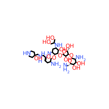 NC[C@@H]1O[C@H](O[C@H]2[C@@H](O)[C@H](O[C@@H]3[C@@H](O)[C@H](NC(CO)CO)C[C@H](N)[C@H]3O[C@H]3OC(CNCC4(O)CCNCC4)=CC[C@H]3N)O[C@@H]2CO)[C@H](N)[C@@H](O)[C@@H]1O